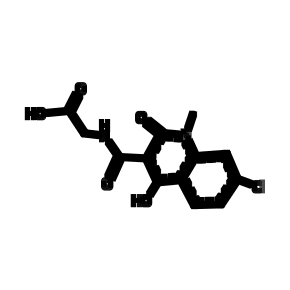 Cn1c(=O)c(C(=O)NCC(=O)O)c(O)c2ccc(Cl)cc21